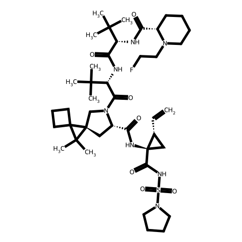 C=C[C@@H]1C[C@]1(NC(=O)[C@@H]1C[C@@]2(CN1C(=O)[C@@H](NC(=O)[C@@H](NC(=O)[C@@H]1CCCCN1CCF)C(C)(C)C)C(C)(C)C)C(C)(C)C21CCC1)C(=O)NS(=O)(=O)N1CCCC1